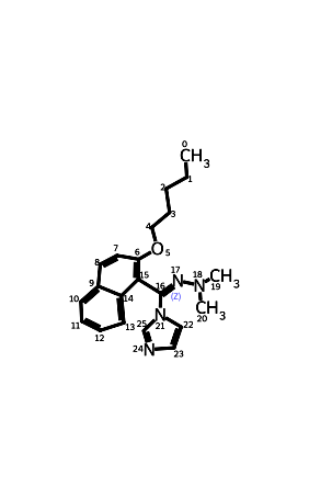 CCCCCOc1ccc2ccccc2c1/C(=N/N(C)C)n1ccnc1